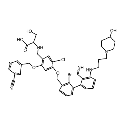 N#Cc1cncc(COc2cc(OCc3cccc(-c4cccc(NCCCN5CCC(O)CC5)c4C=N)c3Br)c(Cl)cc2CNC(CO)C(=O)O)c1